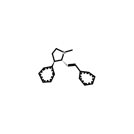 CN1CC[C@H](c2ccccc2)[C@H]1C=Cc1ccccc1